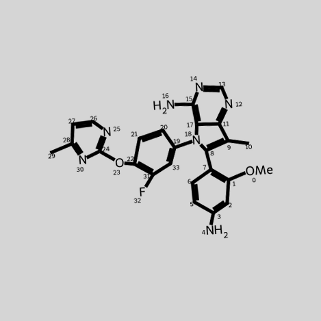 COc1cc(N)ccc1-c1c(C)c2ncnc(N)c2n1-c1ccc(Oc2nccc(C)n2)c(F)c1